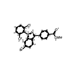 COC(=O)c1ccc(-c2nn(-c3c(Cl)cccc3C(F)(F)F)c3cc(Br)ccc23)cc1